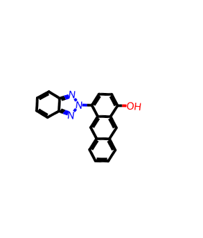 Oc1ccc(-n2nc3ccccc3n2)c2cc3ccccc3cc12